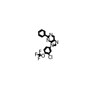 FC(F)(F)Oc1ccc(-n2cnc3cnc(-c4ccccc4)nc32)cc1Cl